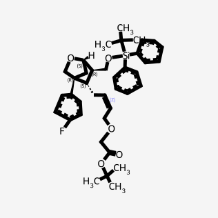 CC(C)(C)OC(=O)COC/C=C\C[C@H]1[C@H](CO[Si](c2ccccc2)(c2ccccc2)C(C)(C)C)[C@@H]2C[C@@]1(c1ccc(F)cc1)CO2